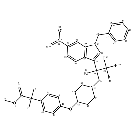 COC(=O)C(C)(C)c1ccc(OC2CCN(CC(O)(c3cn(Cc4ccccc4)c4cc([N+](=O)[O-])ccc34)C(F)(F)F)CC2)cc1